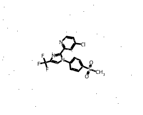 CS(=O)(=O)c1ccc(-n2cc(C(F)(F)F)nc2-c2cc(Cl)ccn2)cc1